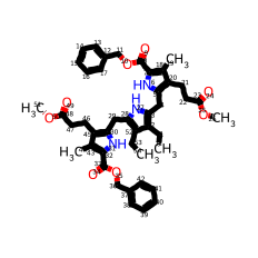 CCc1c(Cc2[nH]c(C(=O)OCc3ccccc3)c(C)c2CCC(=O)OC)[nH]c(Cc2[nH]c(C(=O)OCc3ccccc3)c(C)c2CCC(=O)OC)c1CC